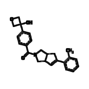 Cc1ccccc1C1=CC2CN(C(=O)c3ccc(C4(O)COC4)cc3)CC2C1